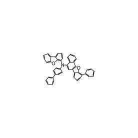 c1ccc(-c2ccc(N(c3cc4c5cccc(-c6ccccc6)c5oc4c4ccccc34)c3cccc4c3oc3ccccc34)cc2)cc1